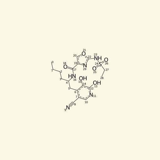 CCCCC(Cc1c(C#N)cnc(O)c1O)NC(=O)c1coc(NS(=O)(=O)CC)n1